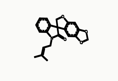 CC(C)=CCN1C(=O)C2(COc3cc4c(cc32)OCO4)c2ccccc21